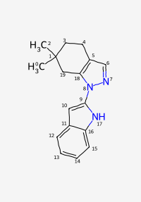 CC1(C)CCc2cnn(-c3cc4ccccc4[nH]3)c2C1